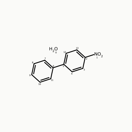 O.O=[N+]([O-])c1ccc(-c2ccccc2)cc1